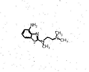 CN(C)CCN(C)c1nc2c(N)cccc2s1